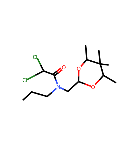 CCCN(CC1OC(C)C(C)(C)C(C)O1)C(=O)C(Cl)Cl